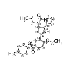 CCCn1c(=O)n2cnnc2c2[nH]c(-c3cc(S(=O)(=O)N4CCN(C)CC4)ccc3OCC)cc21